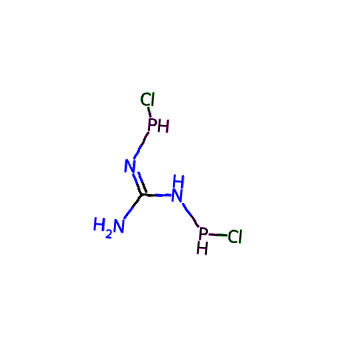 N/C(=N/PCl)NPCl